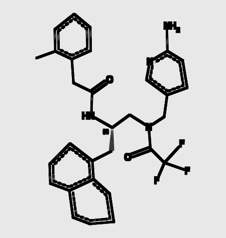 Cc1ccccc1CC(=O)N[C@@H](Cc1cccc2ccccc12)CN(Cc1ccc(N)nc1)C(=O)C(F)(F)F